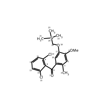 COc1cc(C)c(C(=O)c2c(Cl)cccc2Cl)cc1OC[Si](C)(C)C